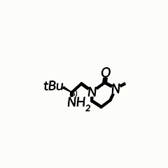 CN1CCCN(C[C@@H](N)C(C)(C)C)C1=O